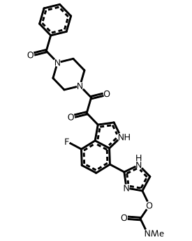 CNC(=O)Oc1c[nH]c(-c2ccc(F)c3c(C(=O)C(=O)N4CCN(C(=O)c5ccccc5)CC4)c[nH]c23)n1